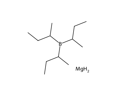 CCC(C)B(C(C)CC)C(C)CC.[MgH2]